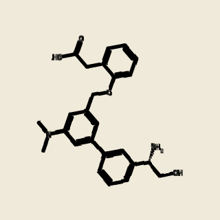 CN(C)c1cc(COc2ccccc2CC(=O)O)cc(-c2cccc([C@H](N)CO)c2)c1